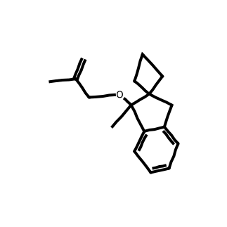 C=C(C)COC1(C)c2ccccc2CC12CCC2